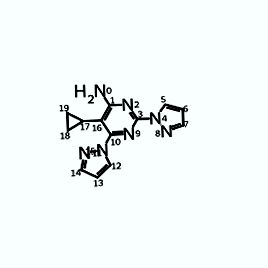 Nc1nc(-n2cccn2)nc(-n2cccn2)c1C1CC1